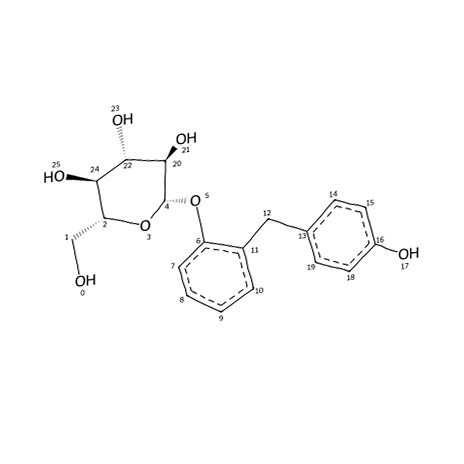 OC[C@H]1O[C@@H](Oc2ccccc2Cc2ccc(O)cc2)[C@H](O)[C@@H](O)[C@@H]1O